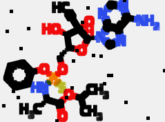 C#C[C@@]1(O)[C@H](O)[C@@H](COP(=S)(N[C@@H](C)C(=O)OC(C)C)Oc2ccccc2)O[C@H]1n1cnc2c(N)ncnc21